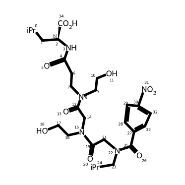 CC(C)C[C@H](NC(=O)CCN(CCO)C(=O)CN(CCO)C(=O)CN(CC(C)C)C(=O)c1ccc([N+](=O)[O-])cc1)C(=O)O